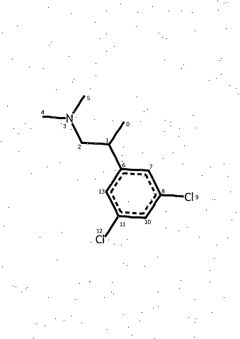 CC(CN(C)C)c1cc(Cl)cc(Cl)c1